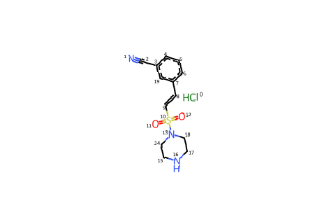 Cl.N#Cc1cccc(/C=C/S(=O)(=O)N2CCNCC2)c1